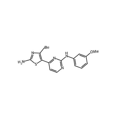 CCC(C)c1nc(N)sc1-c1ccnc(Nc2cccc(OC)c2)n1